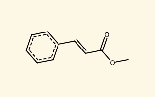 COC(=O)/C=C/c1ccccc1